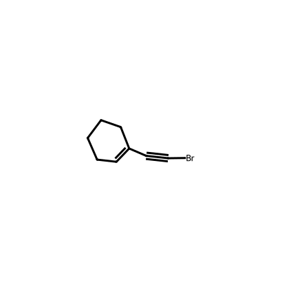 BrC#CC1=CCCCC1